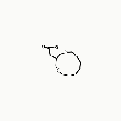 O=C(Cl)CC1CCCCCCCCCCC1